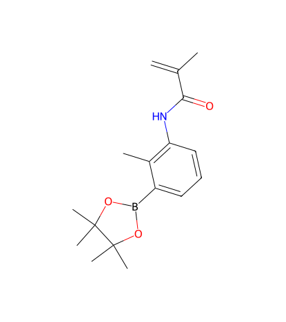 C=C(C)C(=O)Nc1cccc(B2OC(C)(C)C(C)(C)O2)c1C